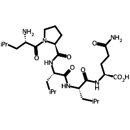 CC(C)C[C@H](NC(=O)[C@H](CC(C)C)NC(=O)[C@@H]1CCCN1C(=O)[C@@H](N)CC(C)C)C(=O)N[C@@H](CCC(N)=O)C(=O)O